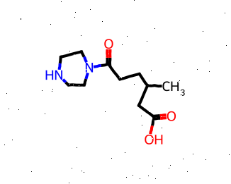 CC(CCC(=O)N1CCNCC1)CC(=O)O